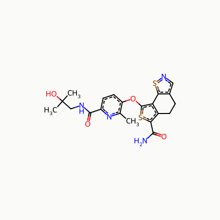 Cc1nc(C(=O)NCC(C)(C)O)ccc1Oc1sc(C(N)=O)c2c1-c1sncc1CC2